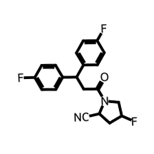 N#CC1CC(F)CN1C(=O)CC(c1ccc(F)cc1)c1ccc(F)cc1